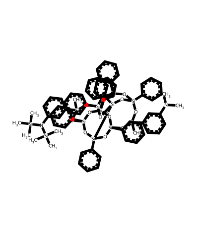 CN(C)c1cccc([Si]2(C)O[Si]3(c4ccccc4)O[Si]4(c5ccccc5)O[Si]5(c6ccccc6)O[Si](C)(c6cccc(N([Si](C)(C)C)[Si](C)(C)C)c6)O[Si]6(c7ccccc7)O[Si](c7ccccc7)(O[Si](c7ccccc7)(O2)O[Si](c2ccccc2)(O6)O[Si](c2ccccc2)(O3)O5)O4)c1